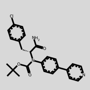 CC(C)(C)OC(=O)N(c1ccc(-c2ccncc2)cc1)[C@H](Cc1ccc(Cl)cc1)C(N)=O